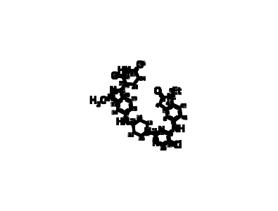 CCN1C(=O)Cc2cc(Nc3nc(N4CCC(Nc5ccc6c([C@@H]7CCC(=O)NC7=O)nn(C)c6c5)CC4)ncc3Cl)ccc21